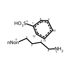 CCCCCCCCCCCCCN.O=S(=O)(O)c1ccccc1